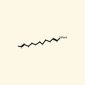 [CH2]CCCC/C=C/CCCCCCC/C=C/C